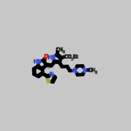 CCOC(=O)c1c(C)[nH]c(/C=C2\C(=O)Nc3cccc(-c4nccs4)c32)c1CCCN1CCN(C)CC1